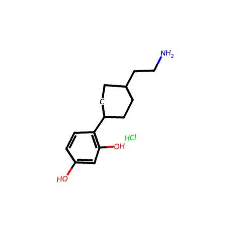 Cl.NCCC1CCC(c2ccc(O)cc2O)CC1